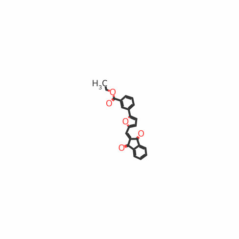 CCOC(=O)c1cccc(-c2ccc(C=C3C(=O)c4ccccc4C3=O)o2)c1